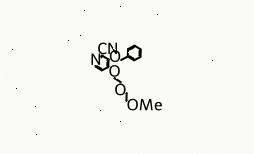 COCCOCCOc1ccnc(C#N)c1OCc1ccccc1